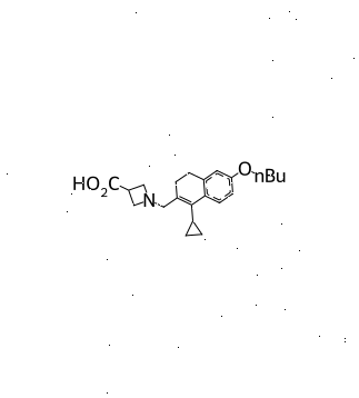 CCCCOc1ccc2c(c1)CCC(CN1CC(C(=O)O)C1)=C2C1CC1